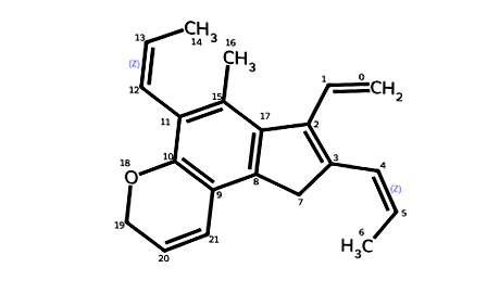 C=CC1=C(/C=C\C)Cc2c3c(c(/C=C\C)c(C)c21)OCC=C3